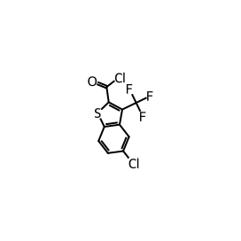 O=C(Cl)c1sc2ccc(Cl)cc2c1C(F)(F)F